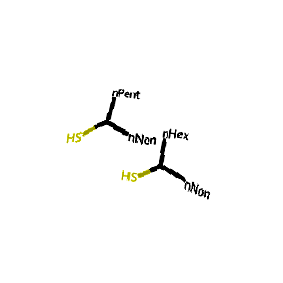 CCCCCCCCCC(S)CCCCC.CCCCCCCCCC(S)CCCCCC